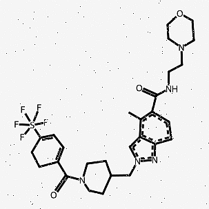 Cc1c(C(=O)NCCN2CCOCC2)ccc2nn(CC3CCN(C(=O)C4=CC=C(S(F)(F)(F)(F)F)CC4)CC3)cc12